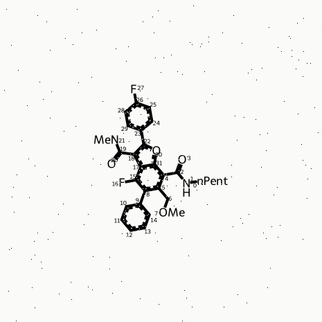 CCCCCNC(=O)c1c(COC)c(-c2ccccc2)c(F)c2c(C(=O)NC)c(-c3ccc(F)cc3)oc12